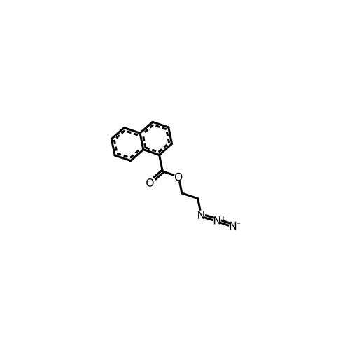 [N-]=[N+]=NCCOC(=O)c1cccc2ccccc12